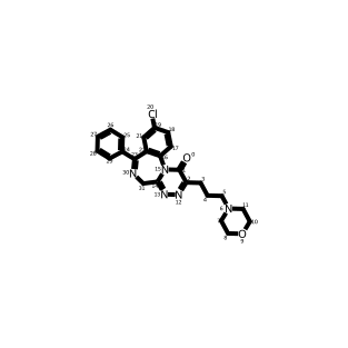 O=c1c(CCCN2CCOCC2)nnc2n1-c1ccc(Cl)cc1C(c1ccccc1)=NC2